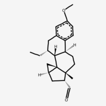 CC[C@@H]1Cc2cc(OC)ccc2[C@H]2CC[C@]3(C)[C@H](C=O)C[C@H]4C[C@]43[C@H]12